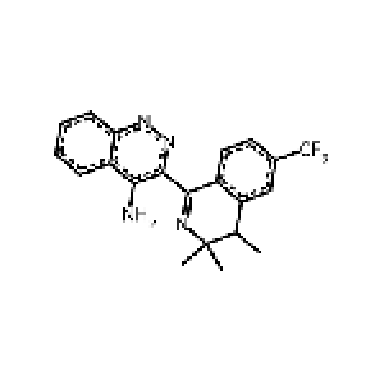 CC1c2cc(C(F)(F)F)ccc2C(c2nnc3ccccc3c2N)=NC1(C)C